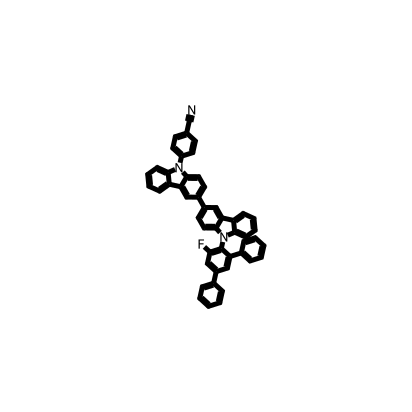 N#Cc1ccc(-n2c3ccccc3c3cc(-c4ccc5c(c4)c4ccccc4n5-c4c(F)cc(-c5ccccc5)cc4-c4ccccc4)ccc32)cc1